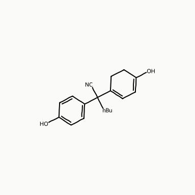 CCCCC(C#N)(C1=CC=C(O)CC1)c1ccc(O)cc1